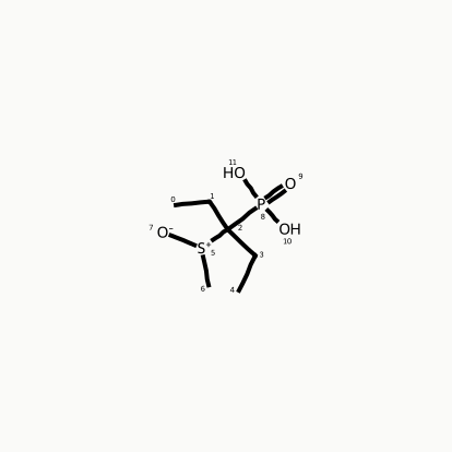 CCC(CC)([S+](C)[O-])P(=O)(O)O